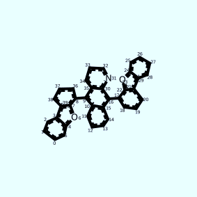 c1ccc2c(c1)oc1c(-c3c4ccccc4c(-c4cccc5c4oc4ccccc45)c4ncccc34)cccc12